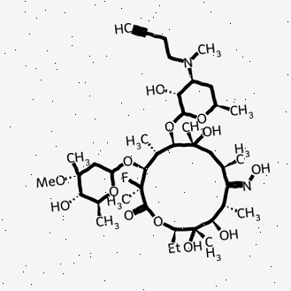 C#CCCN(C)[C@H]1C[C@@H](C)OC(O[C@@H]2[C@@H](C)[C@H](OC3C[C@@](C)(OC)[C@@H](O)[C@H](C)O3)[C@](C)(F)C(=O)O[C@H](CC)[C@@](C)(O)[C@H](O)[C@@H](C)/C(=N/O)[C@H](C)C[C@@]2(C)O)[C@@H]1O